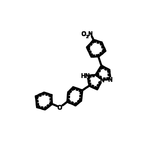 O=[N+]([O-])c1ccc(-c2cnn3cc(-c4ccc(Oc5ccccc5)cc4)[nH]c23)cc1